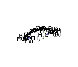 C/C=C/c1cc(C(C)(C)C)c(O)c(C(C)(C)C)c1C(=O)OCCOc1ccc(C(C)(C)c2ccc(OCCOC(=O)c3c(/C=C/C)cc(C(C)(C)C)c(O)c3C(C)(C)C)cc2)cc1